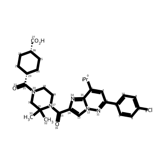 CC(C)c1cc(-c2ccc(Cl)cc2)nn2cc(C(=O)N3CCN(C(=O)[C@H]4CC[C@@H](C(=O)O)CC4)CC3(C)C)nc12